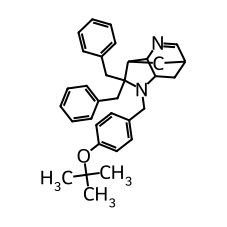 CC(C)(C)Oc1ccc(CN2C3CC4C=NC3C(C4)C2(Cc2ccccc2)Cc2ccccc2)cc1